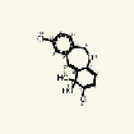 OC1(O)C(Cl)=CC=C2OCc3ccc(Cl)cc3C=C21